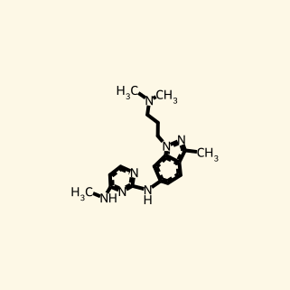 CNc1ccnc(Nc2ccc3c(C)nn(CCCN(C)C)c3c2)n1